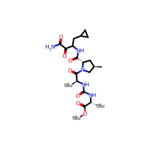 C[C@@H]1C[C@@H](C(=O)NC(CC2CC2)C(=O)C(N)=O)N(C(=O)[C@@H](NC(=O)N[C@@H](C(=O)OC(C)(C)C)C(C)(C)C)C(C)(C)C)C1